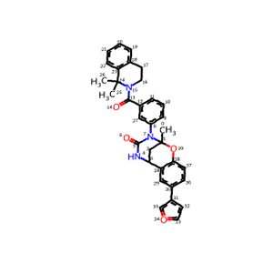 CC12CC(NC(=O)N1c1cccc(C(=O)N3CCc4ccccc4C3(C)C)c1)c1cc(-c3ccoc3)ccc1O2